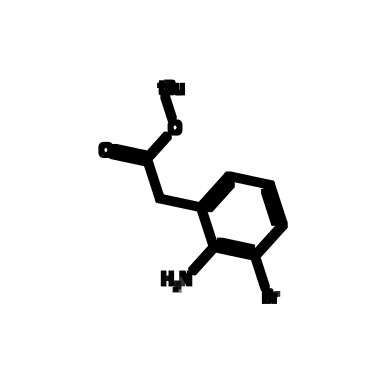 CC(C)(C)OC(=O)Cc1cccc(Br)c1N